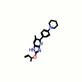 C=CC(C)Oc1nc2nc(-c3ccc(N4CCCCC4)cc3)c(C)cc2[nH]1